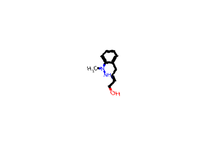 CN(N)c1ccccc1C/C=C/CO